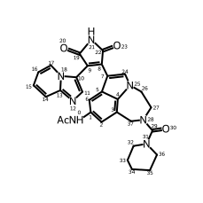 CC(=O)Nc1cc2c3c(c1)c(C1=C(c4cnc5ccccn45)C(=O)NC1=O)cn3CCN(C(=O)N1CCCCC1)C2